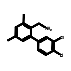 Cc1cc(C)c(CN)c(-c2ccc(Cl)c(Cl)c2)c1